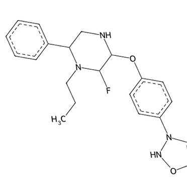 CCCN1C(c2ccccc2)CNC(Oc2ccc(N3C=CON3)cc2)C1F